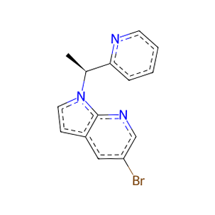 C[C@@H](c1ccccn1)n1ccc2cc(Br)cnc21